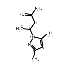 [CH2]C(CC(N)=O)n1nc(C)cc1C